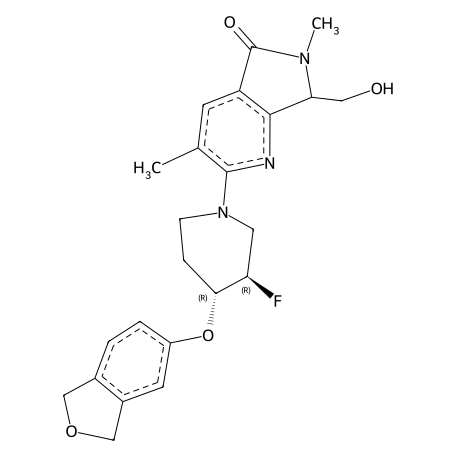 Cc1cc2c(nc1N1CC[C@@H](Oc3ccc4c(c3)COC4)[C@H](F)C1)C(CO)N(C)C2=O